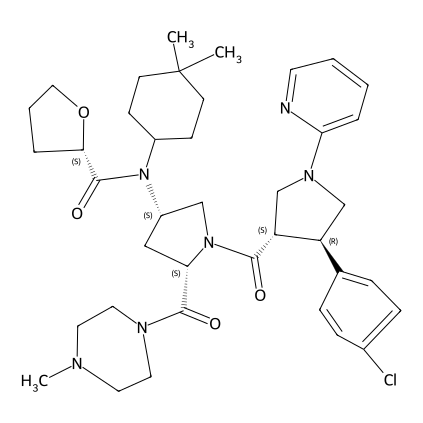 CN1CCN(C(=O)[C@@H]2C[C@H](N(C(=O)[C@@H]3CCCO3)C3CCC(C)(C)CC3)CN2C(=O)[C@@H]2CN(c3ccccn3)C[C@H]2c2ccc(Cl)cc2)CC1